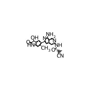 Cc1cc2c(cc1-c1cc3cc(NC(=O)[C@@H]4C[C@H]4C#N)ncc3c(N)n1)C(O)C(=O)N2